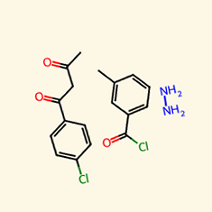 CC(=O)CC(=O)c1ccc(Cl)cc1.Cc1cccc(C(=O)Cl)c1.NN